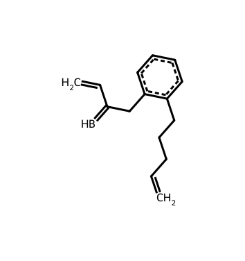 B=C(C=C)Cc1ccccc1CCCC=C